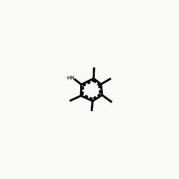 Cc1c(C)c(C)c([NH])c(C)c1C